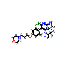 CC(Nc1c(-c2c(F)cc(OCCCN3CCOCC3)cc2F)c(Cl)nc2ncnn12)C(F)(F)F